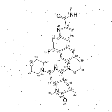 CNC(=O)c1ccc(-c2cc3c(cc2C(F)F)N(c2nc(N4CCOCC4)cc4c2cc(C)c(=O)n4C)CCC3)cn1